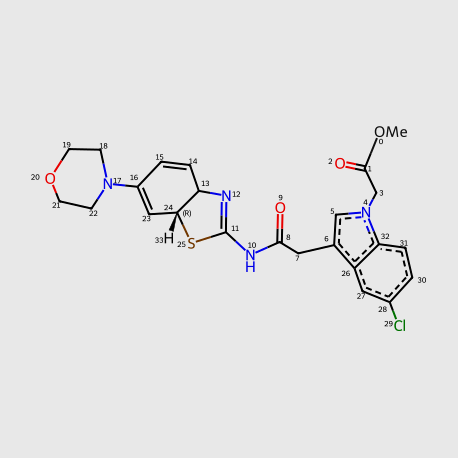 COC(=O)Cn1cc(CC(=O)NC2=NC3C=CC(N4CCOCC4)=C[C@H]3S2)c2cc(Cl)ccc21